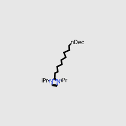 CCCCCCCCCCCCCCCCCCCc1n(C(C)C)cc[n+]1C(C)C